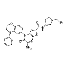 CC(C)CN1CC[C@H](NC(=O)c2cc3c(nc(N)c(=O)n3-c3ccc4c(c3)N(c3ccccc3)CCO4)s2)C1